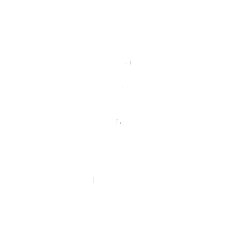 CC(C)(C)C(=O)ON1C(=O)CCC(Br)C1=O